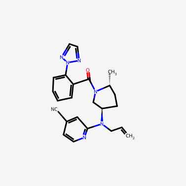 C=CCN(c1cc(C#N)ccn1)[C@@H]1CC[C@@H](C)N(C(=O)c2ccccc2-n2nccn2)C1